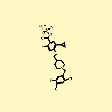 CS(=O)(=O)NC(=O)c1cc(C2CC2)c(OCC2CCN(Cc3cc(F)c(Cl)cc3Cl)CC2)cc1F